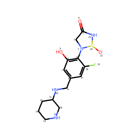 O=C1CN(c2c(O)cc(CNC3CCCNC3)cc2F)[S+]([O-])N1